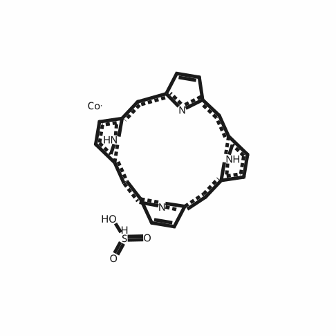 C1=Cc2cc3ccc(cc4nc(cc5ccc(cc1n2)[nH]5)C=C4)[nH]3.O=[SH](=O)O.[Co]